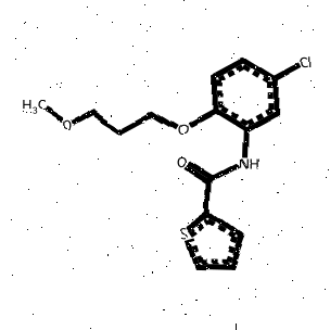 COCCCOc1ccc(Cl)cc1NC(=O)c1cccs1